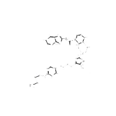 N=C/C=C\Nc1ccc(OCCCc2sc(N3CCc4cccc(C(=O)Nc5nc6ccccc6s5)c4C3)nc2C(=O)O)cc1